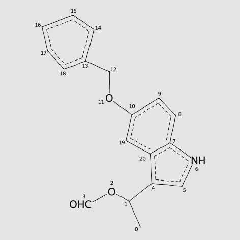 CC(OC=O)c1c[nH]c2ccc(OCc3ccccc3)cc12